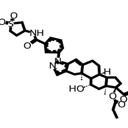 CCC(=O)O[C@]1(C(=O)O)CCC2[C@@H]3CCC4=Cc5c(cnn5-c5cccc(C(=O)NC6CCS(=O)(=O)C6)c5)C[C@]4(C)C3[C@@H](O)C[C@@]21C